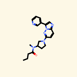 CCCC(=O)N(C)C1CCN(c2ccc3ncc(-c4cccnc4)n3n2)C1